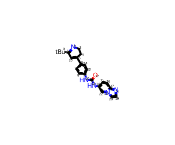 CC(C)(C)C1=NCCC(c2ccc(NC(=O)Nc3ccc4nccn4c3)cc2)=C1